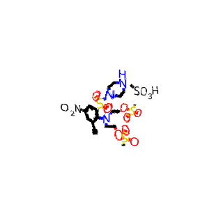 C#Cc1cc([N+](=O)[O-])cc(S(=O)(=O)N2CCNCC2)c1N(CCOS(C)(=O)=O)CCOS(C)(=O)=O.CS(=O)(=O)O